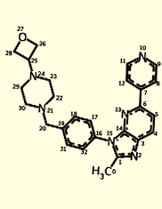 Cc1nc2ccc(-c3ccncc3)nc2n1-c1ccc(CN2CCN(C3COC3)CC2)cc1